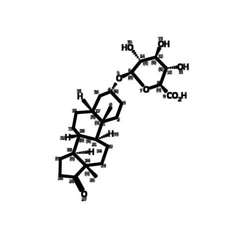 C[C@]12CC[C@@H](O[C@@H]3O[C@H](C(=O)O)[C@@H](O)[C@H](O)[C@H]3O)C[C@H]1CC[C@@H]1[C@@H]2CC[C@]2(C)C(=O)CC[C@@H]12